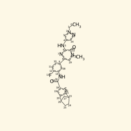 CCn1cc(Nc2nc(-c3ccc(F)c(NC(=O)c4cc5c(s4)C4CCC5C4)c3)cn(C)c2=O)cn1